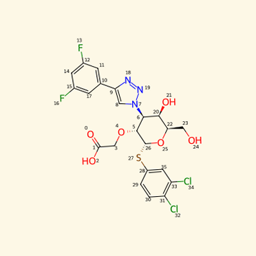 O=C(O)CO[C@@H]1[C@@H](n2cc(-c3cc(F)cc(F)c3)nn2)[C@@H](O)[C@@H](CO)O[C@@H]1Sc1ccc(Cl)c(Cl)c1